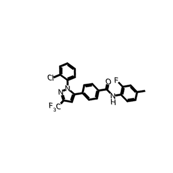 Cc1ccc(NC(=O)c2ccc(-c3cc(C(F)(F)F)nn3-c3ccccc3Cl)cc2)c(F)c1